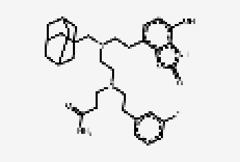 NC(=O)CCN(CCc1cccc(F)c1)CCN(CCc1ccc(O)c2[nH]c(=O)sc12)CC12CC3CC(CC(C3)C1)C2